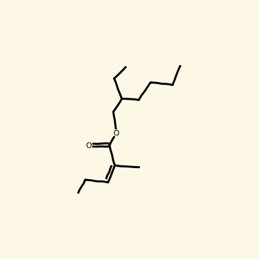 CCC=C(C)C(=O)OCC(CC)CCCC